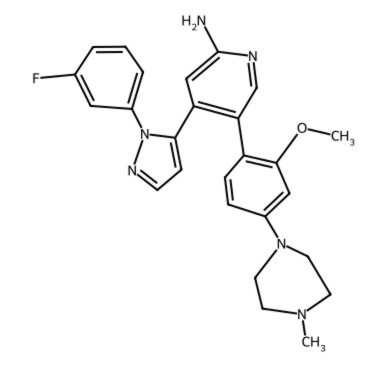 COc1cc(N2CCN(C)CC2)ccc1-c1cnc(N)cc1-c1ccnn1-c1cccc(F)c1